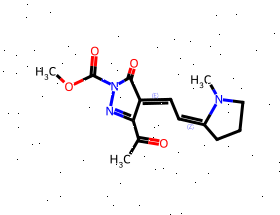 COC(=O)N1N=C(C(C)=O)/C(=C\C=C2\CCCN2C)C1=O